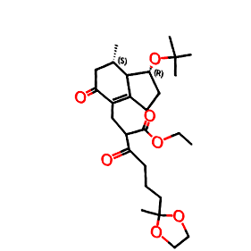 CCOC(=O)C(CC1=C2CC[C@@H](OC(C)(C)C)C2[C@@H](C)CC1=O)C(=O)CCCC1(C)OCCO1